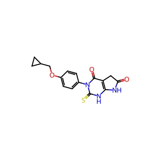 O=C1Cc2c([nH]c(=S)n(-c3ccc(OCC4CC4)cc3)c2=O)N1